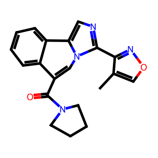 Cc1conc1-c1ncc2c3ccccc3c(C(=O)N3CCCC3)cn12